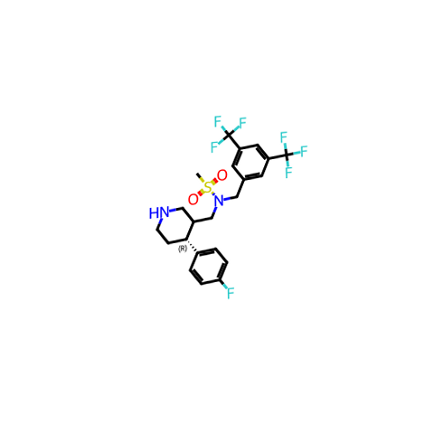 CS(=O)(=O)N(Cc1cc(C(F)(F)F)cc(C(F)(F)F)c1)CC1CNCC[C@H]1c1ccc(F)cc1